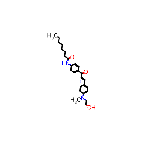 CCCCCCCC(=O)Nc1ccc(C(=O)/C=C/c2ccc(N(C)CCO)cc2)cc1